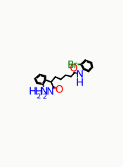 NC(=O)C(CCCCC(=O)Nc1ccccc1Br)c1ccccc1N